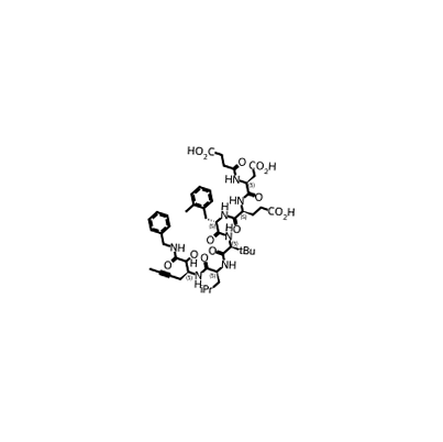 CC#CC[C@H](NC(=O)[C@H](CC(C)C)NC(=O)[C@@H](NC(=O)[C@H](Cc1ccccc1C)NC(=O)[C@H](CCC(=O)O)NC(=O)[C@H](CC(=O)O)NC(=O)CCC(=O)O)C(C)(C)C)C(O)C(=O)NCc1ccccc1